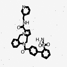 NS(=O)(=O)c1ccccc1-c1ccc(C(=O)N2Cc3ccc(C(=O)NCc4cccnc4)n3Cc3ccccc32)cc1